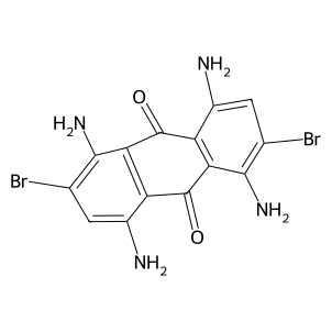 Nc1cc(Br)c(N)c2c1C(=O)c1c(N)c(Br)cc(N)c1C2=O